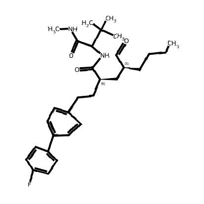 CCCC[C@H](C=O)C[C@@H](CCc1ccc(-c2ccc(F)cc2)cc1)C(=O)NC(C(=O)NC)C(C)(C)C